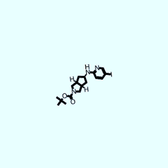 CC(C)(C)OC(=O)N1C[C@H]2C[C@H](Nc3ccc(I)cn3)C[C@H]2C1